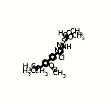 COCOc1cc(CCC(C)(C)C)ccc1-c1ccc(-c2nc3nc(SCC(=O)OC(C)(C)C)[nH]c3cc2Cl)cc1